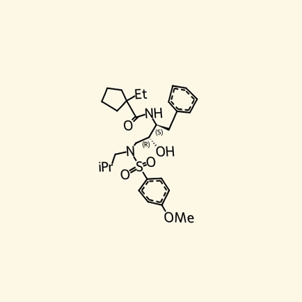 CCC1(C(=O)N[C@@H](Cc2ccccc2)[C@H](O)CN(CC(C)C)S(=O)(=O)c2ccc(OC)cc2)CCCC1